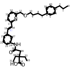 CCCc1ccc(CCCCOCc2cccc(/C=C/c3cccc(NC(=O)CC(CC)(CC)C(=O)O)c3)n2)cc1